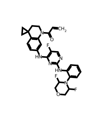 C=CC(=O)N1CCC2(CC2)c2ccc(Nc3nc(Nc4ccccc4N4C(F)COCC4F)ncc3F)cc21